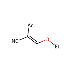 CCO/C=C(/C#N)C(C)=O